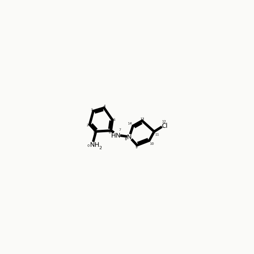 Nc1ccccc1NN1C=CC(Cl)C=C1